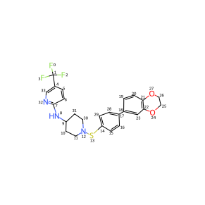 FC(F)(F)c1ccc(NC2CCN(Sc3ccc(-c4ccc5c(c4)OCCO5)cc3)CC2)nc1